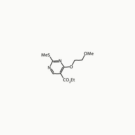 CCOC(=O)c1cnc(SC)nc1OCCOC